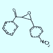 O=C(c1ccccc1)C1OC1c1ccc([N+](=O)[O-])cc1